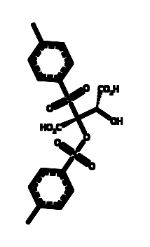 Cc1ccc(S(=O)(=O)O[C@@](C(=O)O)([C@@H](O)C(=O)O)S(=O)(=O)c2ccc(C)cc2)cc1